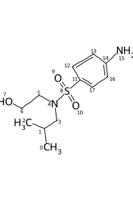 CC(C)CN(CCO)S(=O)(=O)c1ccc(N)cc1